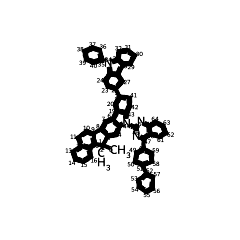 CC1(C)c2cc3c(cc2-c2ccc4ccccc4c21)c1cc(-c2ccc4c(c2)c2ccccc2n4-c2ccccc2)ccc1n3-c1nc(-c2ccc(-c3ccccc3)cc2)c2ccccc2n1